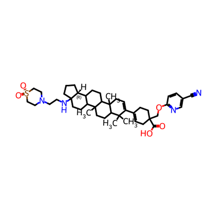 CC1(C)C(C2=CCC(COc3ccc(C#N)cn3)(C(=O)O)CC2)=CCC2(C)C1CCC1(C)C3CCC4(NCCN5CCS(=O)(=O)CC5)CCC[C@@H]4C3CCC12